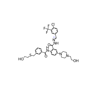 O=C(Nc1ccc(N2CCN(CCO)CC2)cc1C(=O)N/N=C/c1ccc(Cl)c(C(F)(F)F)c1)c1cccc(CSCCO)c1